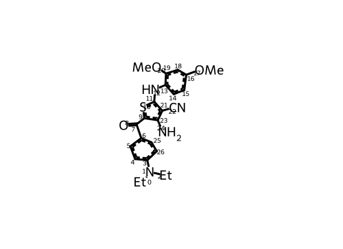 CCN(CC)c1ccc(C(=O)c2sc(Nc3ccc(OC)cc3OC)c(C#N)c2N)cc1